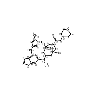 Cc1cc(Nc2nc(N(C)[C@@H]3C[C@H]4C[C@@H](C(=O)CN5CCOCC5)C[C@@H](C3)N4)nc3sccc23)n[nH]1